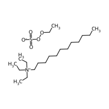 CCCCCCCCCCCC[N+](CC)(CC)CC.CCOOS(=O)(=O)[O-]